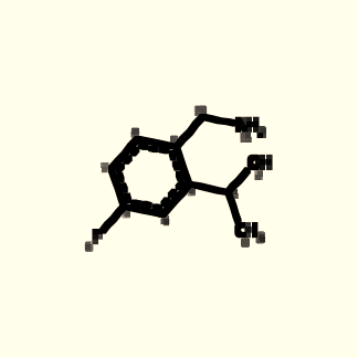 CC(O)c1cc(F)ccc1CN